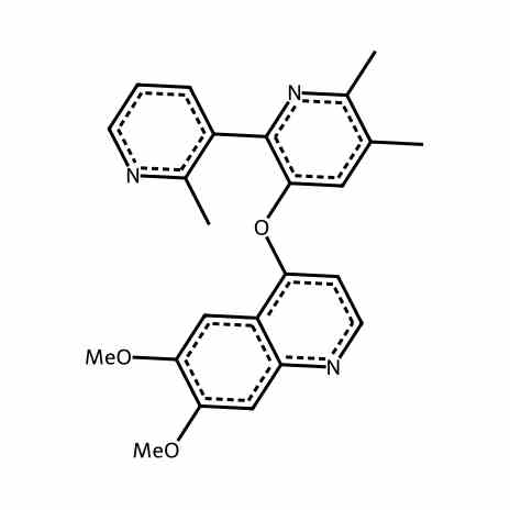 COc1cc2nccc(Oc3cc(C)c(C)nc3-c3cccnc3C)c2cc1OC